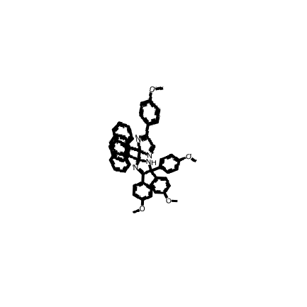 COc1ccc(C2=NC(c3cccc4ccccc34)(C3(c4cccc5ccccc45)N=C(c4ccc(OC)cc4)C(c4ccc(OC)cc4)(c4ccc(OC)cc4)N3)N=C2)cc1